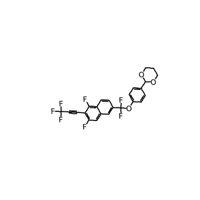 Fc1cc2cc(C(F)(F)Oc3ccc(C4OCCCO4)cc3)ccc2c(F)c1C#CC(F)(F)F